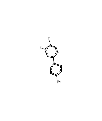 CC(C)c1ccc(-c2ccc(F)c(F)c2)cc1